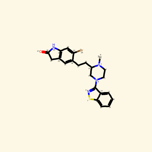 [2H]N1CCN(c2nsc3ccccc23)CC1CCc1cc2c(cc1Br)NC(=O)C2